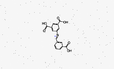 O=C(O)c1cccc(/C=N/c2cc(C(=O)O)cc(C(=O)O)c2)c1